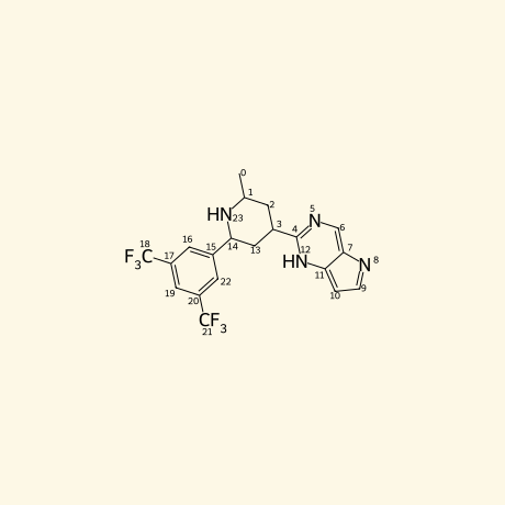 CC1CC(c2ncc3nccc-3[nH]2)CC(c2cc(C(F)(F)F)cc(C(F)(F)F)c2)N1